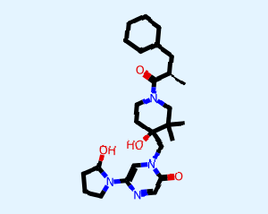 C[C@H](CC1CCCCC1)C(=O)N1CCC(O)(Cn2cc(N3CCCC3O)ncc2=O)C(C)(C)C1